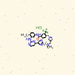 Cc1ccc(NC(=O)c2ccc(CN3CC[C@@H](CN(C)C)C3)c(C(F)(F)F)c2)cc1Nc1nccc(-c2cncnc2)n1.Cl